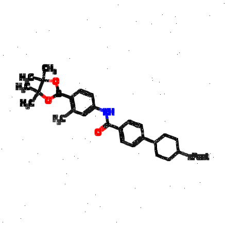 CCCCCC1CCC(c2ccc(C(=O)Nc3ccc(B4OC(C)(C)C(C)(C)O4)c(C(F)(F)F)c3)cc2)CC1